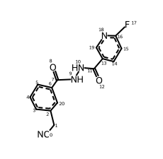 N#CCc1cccc(C(=O)NNC(=O)c2ccc(F)nc2)c1